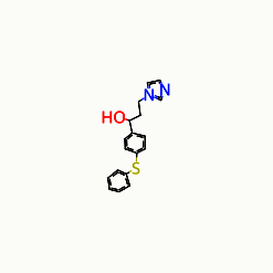 OC(CCn1ccnc1)c1ccc(Sc2ccccc2)cc1